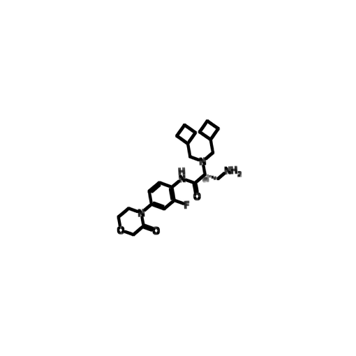 NC[C@H](C(=O)Nc1ccc(N2CCOCC2=O)cc1F)N(CC1CCC1)CC1CCC1